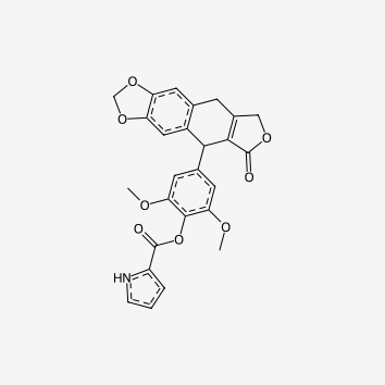 COc1cc(C2C3=C(COC3=O)Cc3cc4c(cc32)OCO4)cc(OC)c1OC(=O)c1ccc[nH]1